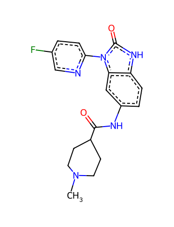 CN1CCC(C(=O)Nc2ccc3[nH]c(=O)n(-c4ccc(F)cn4)c3c2)CC1